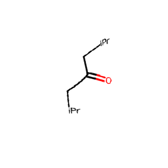 CC(C)CC(=O)CC(C)C